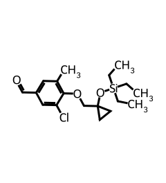 CC[Si](CC)(CC)OC1(COc2c(C)cc(C=O)cc2Cl)CC1